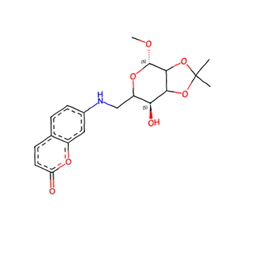 CO[C@H]1OC(CNc2ccc3ccc(=O)oc3c2)[C@H](O)C2OC(C)(C)OC21